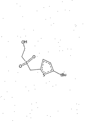 CC(C)(C)c1ccc(CS(=O)(=O)CCO)s1